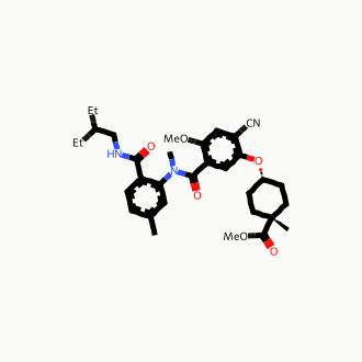 CCC(CC)CNC(=O)c1ccc(C)cc1N(C)C(=O)c1cc(O[C@H]2CC[C@@](C)(C(=O)OC)CC2)c(C#N)cc1OC